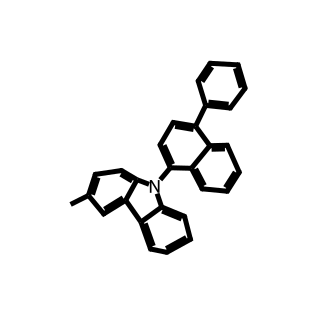 Cc1ccc2c(c1)c1ccccc1n2-c1ccc(-c2ccccc2)c2ccccc12